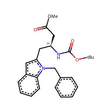 COC(=O)C[C@H](Cc1cc2ccccc2n1Cc1ccccc1)NC(=O)OC(C)(C)C